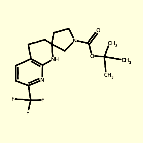 CC(C)(C)OC(=O)N1CCC2(CCc3ccc(C(F)(F)F)nc3N2)C1